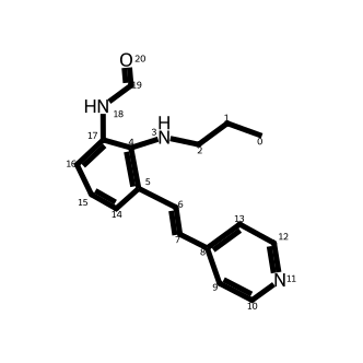 CCCNc1c(/C=C/c2ccncc2)cccc1NC=O